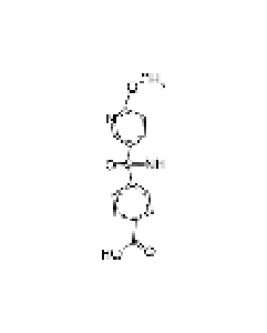 COc1ccc(S(=N)(=O)c2ccc(C(=O)O)cc2)cn1